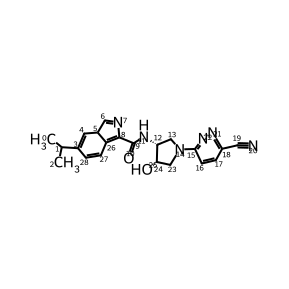 CC(C)C1=CC2C=NC(C(=O)N[C@@H]3CN(c4ccc(C#N)nn4)C[C@@H]3O)=C2C=C1